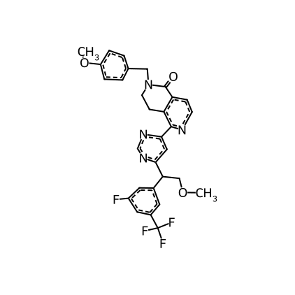 COCC(c1cc(F)cc(C(F)(F)F)c1)c1cc(-c2nccc3c2CCN(Cc2ccc(OC)cc2)C3=O)ncn1